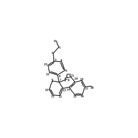 CCCc1ccc(C2(F)CC=CC=C2c2ccc(C)cc2Cl)cc1